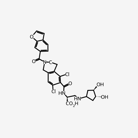 O=C(N[C@@H](CNC1C[C@@H](O)[C@H](O)C1)C(=O)O)c1c(Cl)cc2c(c1Cl)CCN(C(=O)c1ccc3ccoc3c1)C2